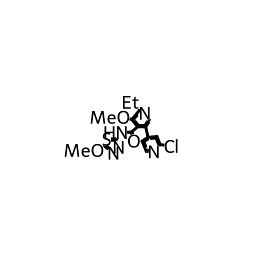 CCc1ncc(-c2ccnc(Cl)c2)c(C(=O)Nc2nnc(OC)s2)c1OC